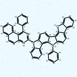 c1ccc(-c2nc(-n3c4ccccc4c4c3ccc3c5c6oc7ccccc7c6ccc5n(-c5ccccc5)c34)nc3ccc4ccccc4c23)cc1